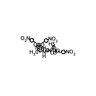 CN(CC(=O)N[C@H]1CCN(C(=O)[C@@H]2C[C@H](S)CN2C(=O)OCc2ccc([N+](=O)[O-])cc2)C1)/C(=N/C(=O)OCc1ccc([N+](=O)[O-])cc1)NC(=O)OCc1ccc([N+](=O)[O-])cc1